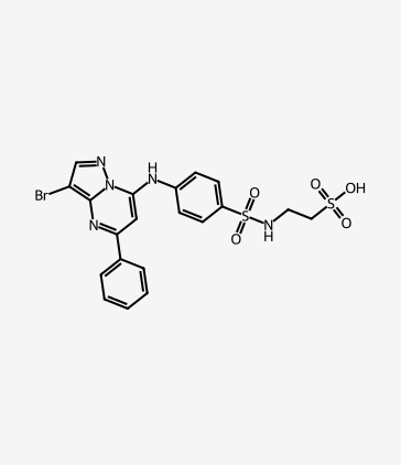 O=S(=O)(O)CCNS(=O)(=O)c1ccc(Nc2cc(-c3ccccc3)nc3c(Br)cnn23)cc1